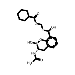 CC(=O)N[C@H]1Cc2cccc(C(O)OCOC(=O)C3CCCCC3)c2OB1O